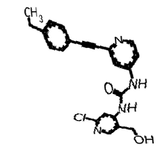 CCc1ccc(C#Cc2cc(NC(=O)Nc3cc(Cl)ncc3CO)ccn2)cc1